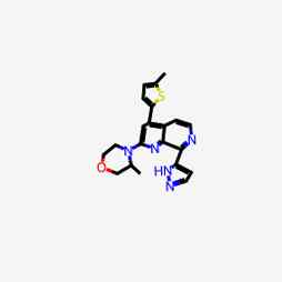 Cc1ccc(-c2cc(N3CCOCC3C)nc3c(-c4ccn[nH]4)nccc23)s1